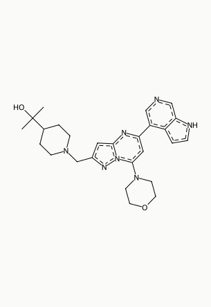 CC(C)(O)C1CCN(Cc2cc3nc(-c4cncc5[nH]ccc45)cc(N4CCOCC4)n3n2)CC1